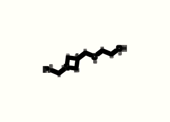 CC(C)CN1CC(COCCO)C1